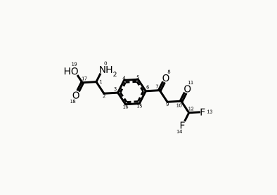 NC(Cc1ccc(C(=O)CC(=O)C(F)F)cc1)C(=O)O